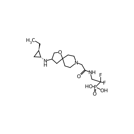 CC[C@@H]1C[C@H]1NC1COC2(CCN(CC(=O)NCC(F)(F)P(=O)(O)O)CC2)C1